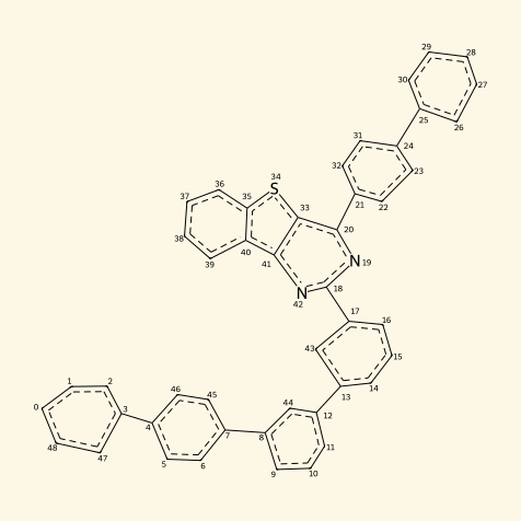 c1ccc(-c2ccc(-c3cccc(-c4cccc(-c5nc(-c6ccc(-c7ccccc7)cc6)c6sc7ccccc7c6n5)c4)c3)cc2)cc1